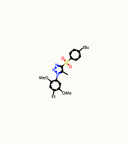 CCc1cc(OC)c(-n2nnc(S(=O)(=O)c3ccc(C(C)(C)C)cc3)c2C)cc1OC